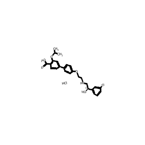 CC(C)Oc1cc(-c2ccc(OCCNC[C@H](O)c3cccc(Cl)c3)cc2)ccc1C(=O)O.Cl